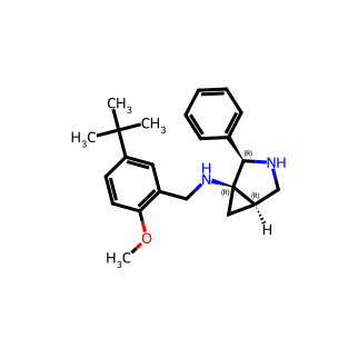 COc1ccc(C(C)(C)C)cc1CN[C@]12C[C@@H]1CN[C@@H]2c1ccccc1